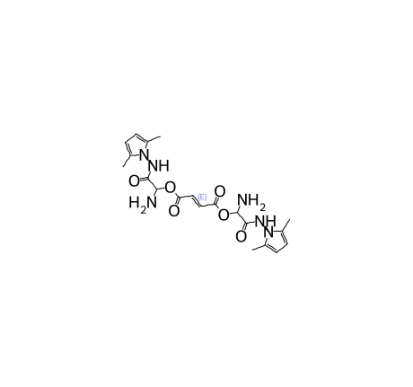 Cc1ccc(C)n1NC(=O)C(N)OC(=O)/C=C/C(=O)OC(N)C(=O)Nn1c(C)ccc1C